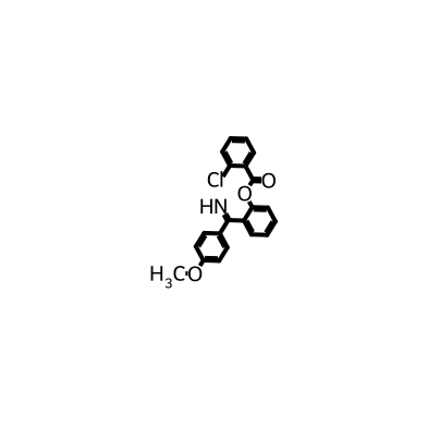 COc1ccc(C(=N)c2ccccc2OC(=O)c2ccccc2Cl)cc1